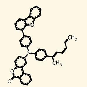 C=C/C=C\C=C(/C)c1ccc(N(c2ccc(-c3cccc4c3oc3ccccc34)cc2)c2ccc3oc(=O)c4ccccc4c3c2)cc1